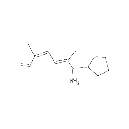 C=C/C(C)=C\C=C(/C)C(N)C1CCCC1